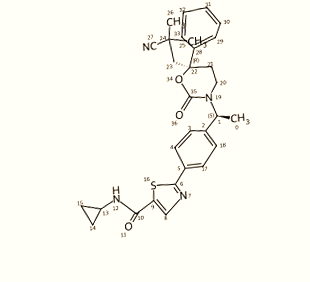 C[C@@H](c1ccc(-c2ncc(C(=O)NC3CC3)s2)cc1)N1CC[C@](CC(C)(C)C#N)(c2ccccc2)OC1=O